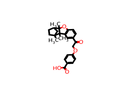 CC12CCC(C1)C1(C)Oc3ccc(C(=O)COc4ccc(C(=O)O)cc4)cc3C21C